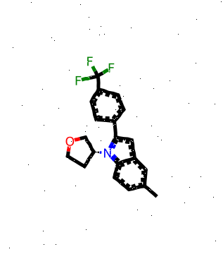 Cc1ccc2c(c1)cc(-c1ccc(C(F)(F)F)cc1)n2[C@@H]1CCOC1